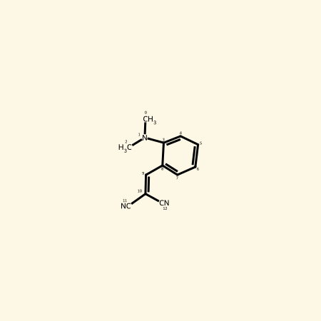 CN(C)c1ccccc1C=C(C#N)C#N